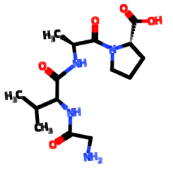 CC(C)[C@H](NC(=O)CN)C(=O)N[C@@H](C)C(=O)N1CCC[C@H]1C(=O)O